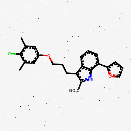 CCOC(=O)c1[nH]c2c(-c3ccco3)cccc2c1CCCOc1cc(C)c(Cl)c(C)c1